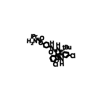 CC(C)[C@@H](N)C(=O)OC1CCC(NC(=O)[C@@H]2N[C@H](CC(C)(C)C)[C@]3(C(=O)Nc4cc(Cl)ccc43)[C@H]2c2cccc(Cl)c2F)CC1